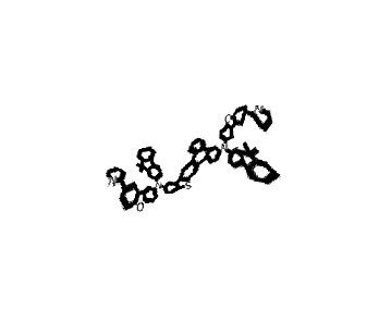 CC1(C)c2ccccc2-c2ccc(N(c3ccc4oc5ccc(-c6ccccn6)cc5c4c3)c3ccc4sc5cc6c7ccc(N(c8ccc9c(c8)C(C)(C)c8ccccc8-9)c8ccc9oc%10ccc(-c%11ccccn%11)cc%10c9c8)cc7c7ccccc7c6cc5c4c3)cc21